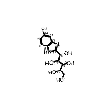 OCC(O)C(O)C(O)[C@@H](O)c1nc2cc(F)ccc2[nH]1